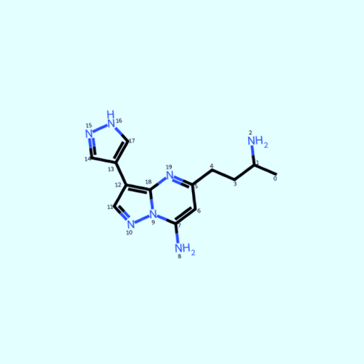 CC(N)CCc1cc(N)n2ncc(-c3cn[nH]c3)c2n1